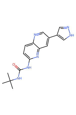 CC(C)(C)NC(=O)Nc1ccc2ncc(-c3cn[nH]c3)cc2n1